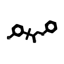 CC(C)(C(=O)COc1ccccc1)c1cccc(Cl)c1